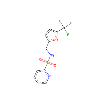 O=S(=O)(NCc1ccc(C(F)(F)F)o1)c1ccccn1